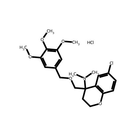 COc1cc(COCC2(N(C)C)CCOc3ccc(Cl)cc32)cc(OC)c1OC.Cl